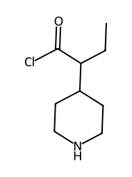 CCC(C(=O)Cl)C1CCNCC1